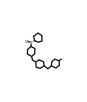 CC1CCC(CC2CCC(CC3CCC([S+]([O-])C4CCCCC4)CC3)CC2)CC1